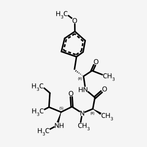 CCC(C)[C@H](NC)C(=O)N(C)[C@H](C)C(=O)N[C@H](Cc1ccc(OC)cc1)C(C)=O